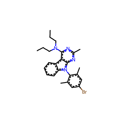 CCCN(CCC)c1nc(C)nc2c1c1ccccc1n2-c1c(C)cc(Br)cc1C